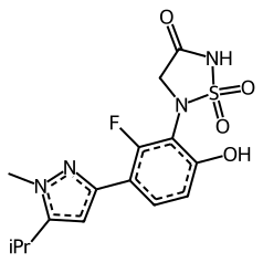 CC(C)c1cc(-c2ccc(O)c(N3CC(=O)NS3(=O)=O)c2F)nn1C